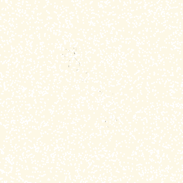 Cc1ccc(COC(=O)N2CCC(NC(=O)c3ccc4[nH]nnc4c3)CC2)cc1Cl